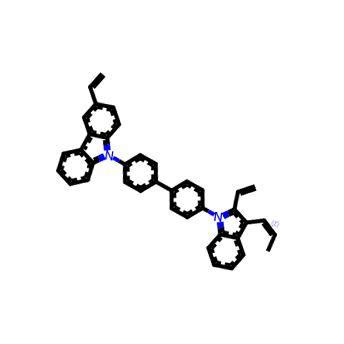 C=Cc1ccc2c(c1)c1ccccc1n2-c1ccc(-c2ccc(-n3c(C=C)c(/C=C\C)c4ccccc43)cc2)cc1